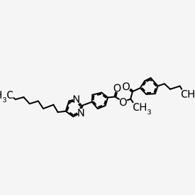 CCCCCCCCc1cnc(-c2ccc(C(=O)OC(C)C(=O)c3ccc(CCCC)cc3)cc2)nc1